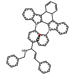 C1=CC2c3c(n(-c4ccccc4)c4ccccc34)-c3c(c4ccccc4n3-c3ccc(C(/C=C/c4ccccc4)NCc4ccccc4)cc3)C2C=C1